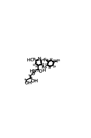 Cl.O=C(NOC[C@@H](O)CO)c1ccncc1[AsH]c1ccc(I)cc1F